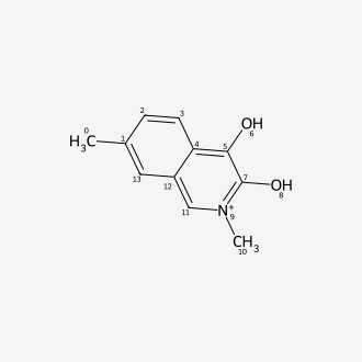 Cc1ccc2c(O)c(O)[n+](C)cc2c1